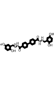 COc1ccc(O)c(CNNC(=O)c2ccc(-c3ccc(C(=O)NNCc4cc(OC)ccc4O)cc3)cc2)c1